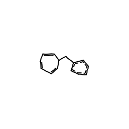 C1=CC=CC(Cc2ccccc2)C=C1